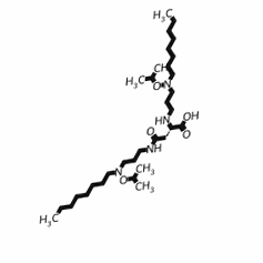 CCCCCCCCN(CCCNC(=O)C[C@H](NCCCN(CCCCCCCC)OC(C)C)C(=O)O)OC(C)C